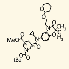 COC(=O)[C@H]1C[C@@H](C(=O)N(c2ccc3c(c2)N(CCOC2CCCCO2)C(=O)C(C)(C)O3)C2CC2)CN(C(=O)OC(C)(C)C)C1